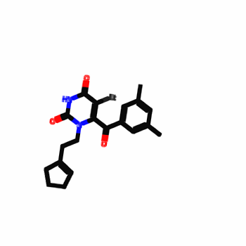 CCc1c(C(=O)c2cc(C)cc(C)c2)n(CCC2=CCCC2)c(=O)[nH]c1=O